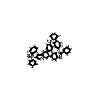 O=P(c1ccccc1)(c1ccccc1)c1cccc(-n2c(-c3ccccc3)nc3ccc(-c4ccc5cc(P(=O)(c6ccccc6)c6ccccc6)cnc5c4)cc32)c1